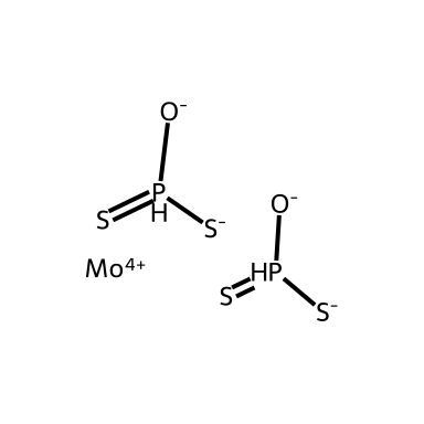 [Mo+4].[O-][PH](=S)[S-].[O-][PH](=S)[S-]